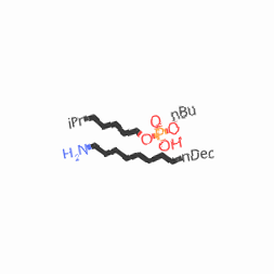 CCCCCCCCCCCCCCCCCCN.CCCCOP(=O)(O)OCCCCCC(C)C